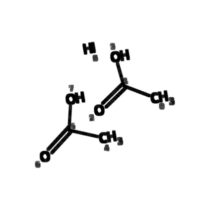 CC(=O)O.CC(=O)O.I